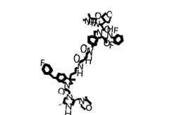 CNC(C)C(=O)NC(C(=O)N1Cc2ccc(NC(=O)CC(=O)NCCCC3(C)CN(C(=O)CN4C[C@@H](C)NC[C@@H]4CN4CCOCC4C)c4cc(Cc5ccc(F)cc5)ccc43)cc2C1C(=O)Nc1c(F)cccc1F)C1CCOCC1